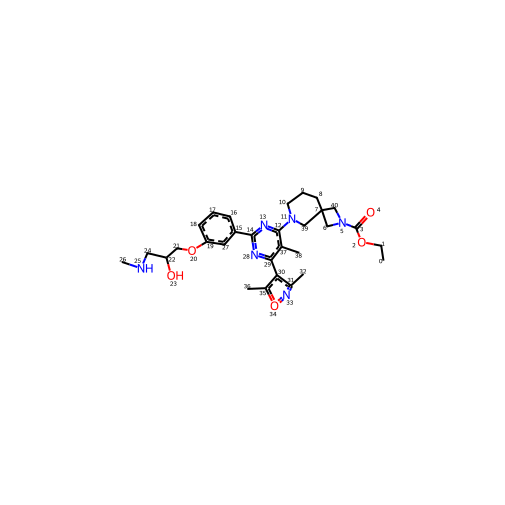 CCOC(=O)N1CC2(CCCN(c3nc(-c4cccc(OCC(O)CNC)c4)nc(-c4c(C)noc4C)c3C)C2)C1